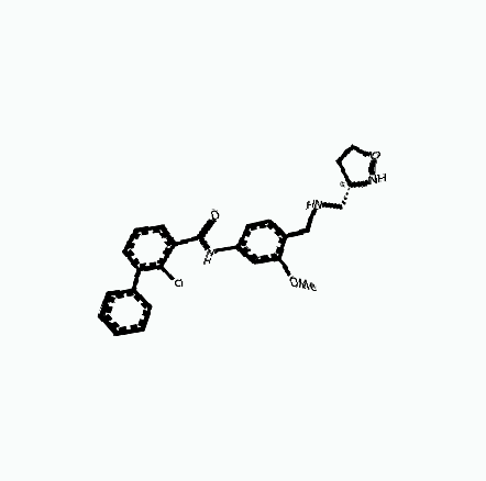 COc1cc(NC(=O)c2cccc(-c3ccccc3)c2Cl)ccc1CNC[C@@H]1CCON1